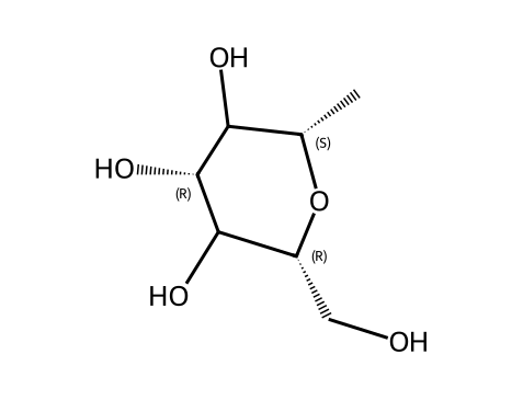 C[C@@H]1O[C@H](CO)C(O)[C@H](O)C1O